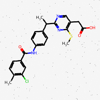 CSc1nc(C(C)c2ccc(NC(=O)c3ccc(C)c(Cl)c3)cc2)ncc1CC(=O)O